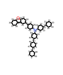 c1ccc(-c2ccc(-c3ccc(N(c4ccc(-c5ccccc5)cc4)c4ccc(-c5ccc6oc7ccccc7c6c5)cc4)cc3)cc2)cc1